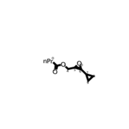 CCCC(=O)OCC1=C(C2CC2)O1